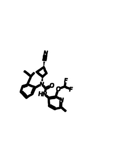 Cc1ccc(NC(=O)N(c2ccccc2C(C)C)[C@H]2C[C@@H](C#N)C2)c(OC(F)F)n1